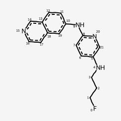 FCCCNc1ccc(Nc2ccc3cnccc3c2)nc1